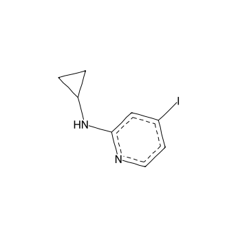 Ic1ccnc(NC2CC2)c1